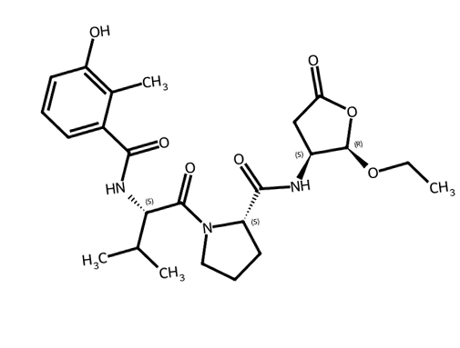 CCO[C@@H]1OC(=O)C[C@@H]1NC(=O)[C@@H]1CCCN1C(=O)[C@@H](NC(=O)c1cccc(O)c1C)C(C)C